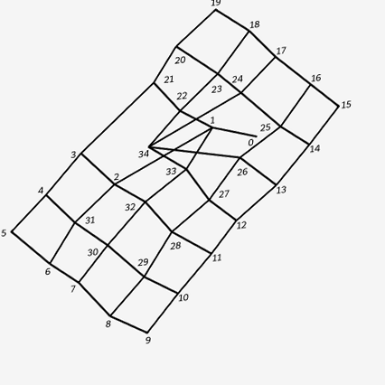 CC12C34C5C6CC7C8C9CC%10C%11C%12C%13C%14CC%15C%16C%17CC%18C5C15C%17%18C%161C%15%14C%13%14C%12%13C%11%12C9%10C8(C763)C4%12C2%13C15%14